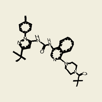 Cc1ccc(-n2nc(C(C)(C)C)cc2NC(=O)Nc2cnc(N3CCN(C(=O)C(C)(C)C)CC3)c3ccccc23)cc1